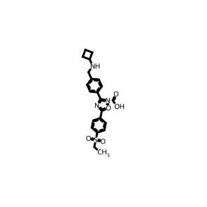 CCS(=O)(=O)c1ccc(-c2nc(-c3ccc(CNC4CCC4)cc3)no2)cc1.O=CO